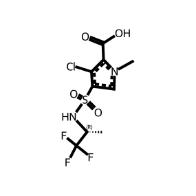 C[C@@H](NS(=O)(=O)c1cn(C)c(C(=O)O)c1Cl)C(F)(F)F